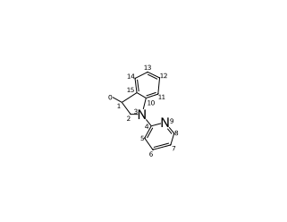 CC1CN(c2ccccn2)c2ccccc21